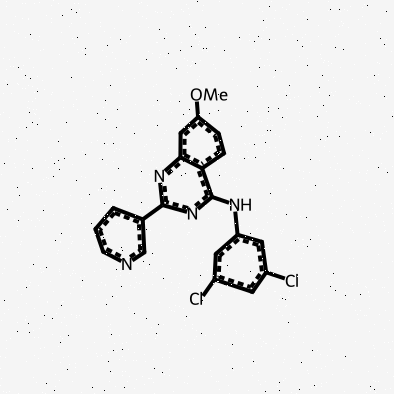 COc1ccc2c(Nc3cc(Cl)cc(Cl)c3)nc(-c3cccnc3)nc2c1